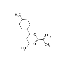 C=C(C)C(=O)OC(CCC)C1CCC(C)CC1